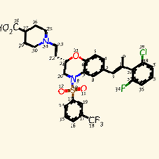 C/C(=C\c1ccc2c(c1)N(S(=O)(=O)c1cccc(C(F)(F)F)c1)C[C@H](CCN1CCC(C(=O)O)CC1)O2)c1c(F)cccc1Cl